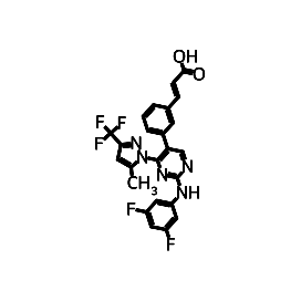 Cc1cc(C(F)(F)F)nn1-c1nc(Nc2cc(F)cc(F)c2)ncc1-c1cccc(C=CC(=O)O)c1